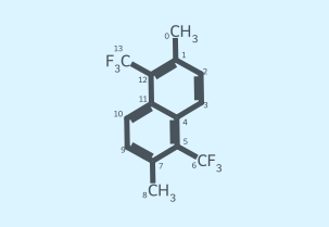 Cc1ccc2c(C(F)(F)F)c(C)ccc2c1C(F)(F)F